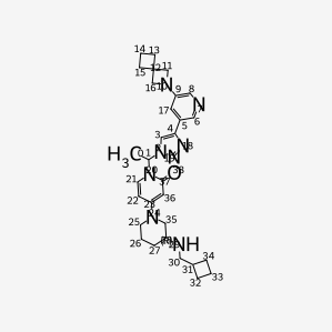 CC(n1cc(-c2cncc(N3CC4(CCC4)C3)c2)nn1)n1ccc(N2CCC[C@@H](NCC3CCC3)C2)cc1=O